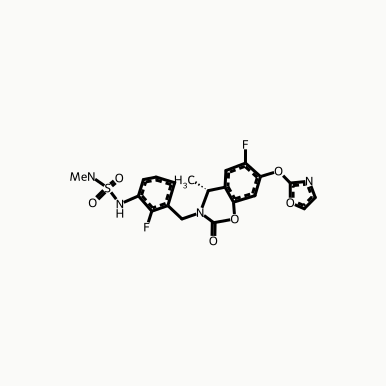 CNS(=O)(=O)Nc1cccc(CN2C(=O)Oc3cc(Oc4ncco4)c(F)cc3[C@H]2C)c1F